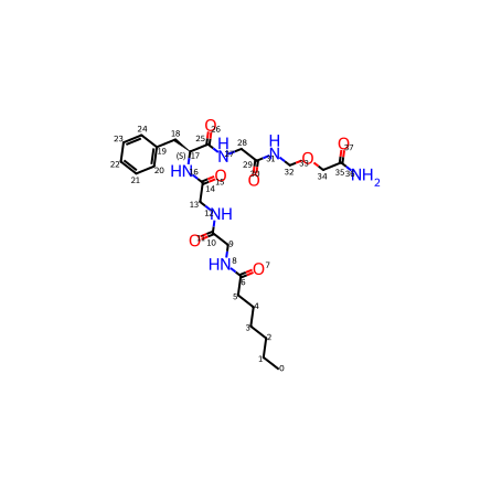 CCCCCCC(=O)NCC(=O)NCC(=O)N[C@@H](Cc1ccccc1)C(=O)NCC(=O)NCOCC(N)=O